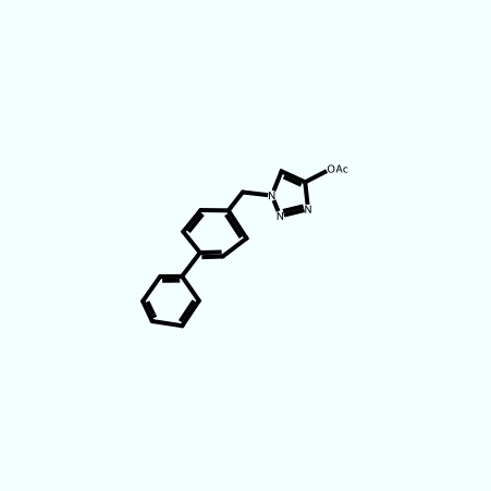 CC(=O)Oc1cn(Cc2ccc(-c3ccccc3)cc2)nn1